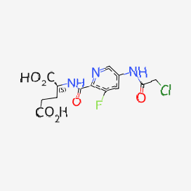 O=C(O)CC[C@H](NC(=O)c1ncc(NC(=O)CCl)cc1F)C(=O)O